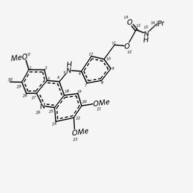 COc1cc2c(Nc3cccc(COC(=O)NC(C)C)c3)c3cc(OC)c(OC)cc3nc2cc1C